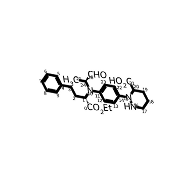 CCOC(=O)[C@H](CCc1ccccc1)N(c1ccc(N2NCCCC2C(=O)O)cc1)[C@@H](C)C=O